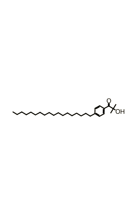 CCCCCCCCCCCCCCCCCCc1ccc(C(=O)C(C)(C)O)cc1